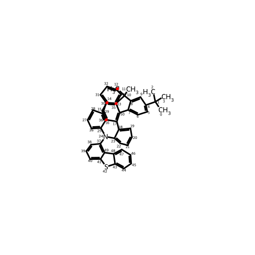 CC(C)(C)c1ccc2c(c1)C(C)(C)c1cccc(-c3ccccc3N(c3cccc(-c4ccccc4)c3)c3cccc4sc5ccccc5c34)c1-2